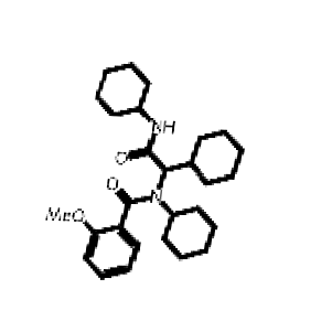 COc1ccccc1C(=O)N(C1CCCCC1)C(C(=O)NC1CCCCC1)C1CCCCC1